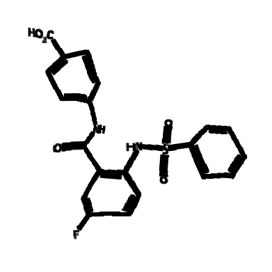 O=C(O)c1ccc(NC(=O)c2cc(F)ccc2NS(=O)(=O)c2ccccc2)cc1